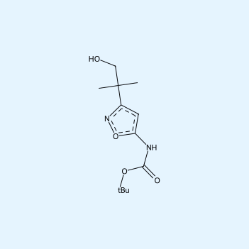 CC(C)(C)OC(=O)Nc1cc(C(C)(C)CO)no1